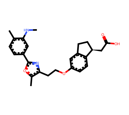 CNc1cc(-c2nc(CCOc3ccc4c(c3)CC[C@H]4CC(=O)O)c(C)o2)ccc1C